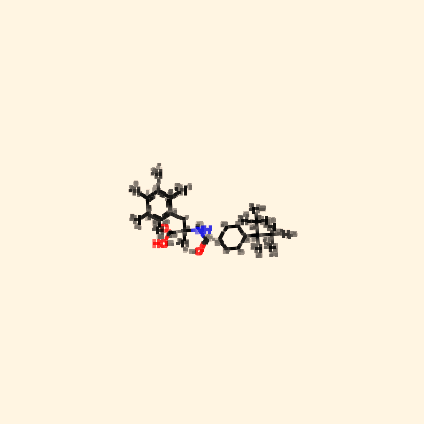 [2H]c1c([2H])c([2H])c(CC([2H])(NC(=O)[C@H]2CC[C@H](C([2H])(C([2H])([2H])[2H])C([2H])([2H])[2H])CC2)C(=O)O)c([2H])c1[2H]